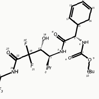 CC(C)[C@H](NC(=O)[C@@H](NC(=O)OC(C)(C)C)C1C=CC=CC1)[C@@H](O)C(F)(F)C(=O)NCC(F)(F)F